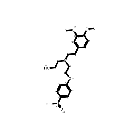 COc1ccc(CCN(CCO)CCOc2ccc([N+](=O)[O-])cc2)cc1OC